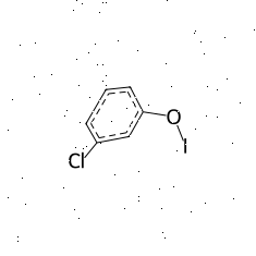 Clc1cccc(OI)c1